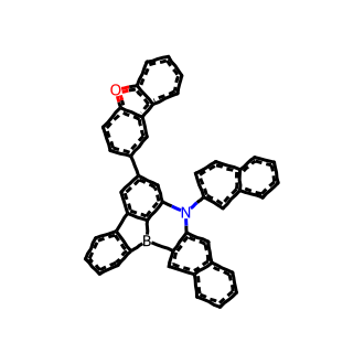 c1ccc2c(c1)B1c3cc4ccccc4cc3N(c3ccc4ccccc4c3)c3cc(-c4ccc5oc6ccccc6c5c4)cc-2c31